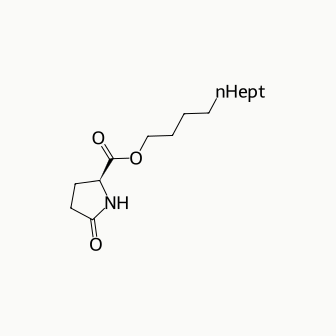 CCCCCCCCCCCOC(=O)[C@@H]1CCC(=O)N1